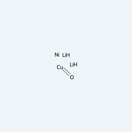 [LiH].[LiH].[Ni].[O]=[Cu]